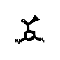 Nc1cc(N)cc(C(=O)C2CC2)c1